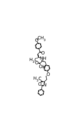 COc1ccc(C(=O)C=C(C)N[C@@H](Cc2ccc(OCCc3nc(-c4ccccc4)oc3C)cc2)C(=O)O)cc1